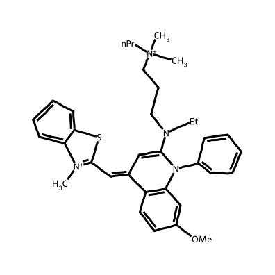 CCC[N+](C)(C)CCCN(CC)C1=CC(=Cc2sc3ccccc3[n+]2C)c2ccc(OC)cc2N1c1ccccc1